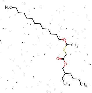 CCCCCCCCCCCCCOC(C)SCC(=O)OCC(CC)CCCC